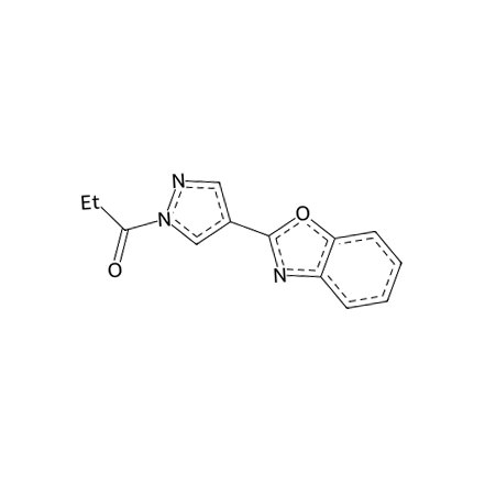 [CH2]CC(=O)n1cc(-c2nc3ccccc3o2)cn1